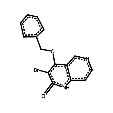 O=c1[nH]c2ccncc2c(OCc2ccccc2)c1Br